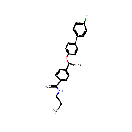 C=C(NCCC(=O)O)c1ccc(C(CCCCCC)Oc2ccc(-c3ccc(F)cc3)cc2)cc1